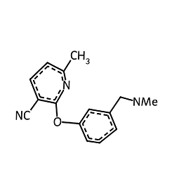 CNCc1cccc(Oc2nc(C)ccc2C#N)c1